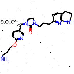 CCOC(=O)C[C@@H](c1ccc(OCCCN)nc1)N1CCN(CCCc2ccc3c(n2)NCCC3)C1=O